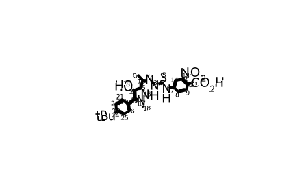 CC(=NNC(=S)Nc1ccc(C(=O)O)c([N+](=O)[O-])c1)c1nn(C)c(-c2ccc(C(C)(C)C)cc2)c1O